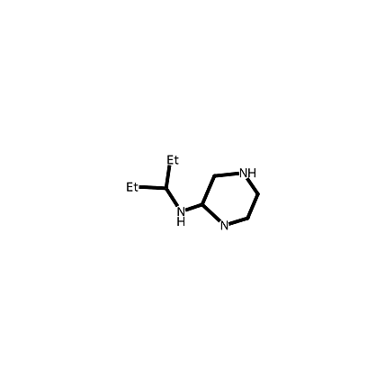 CCC(CC)NC1CNCC[N]1